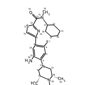 C[C@@H]1CN(c2cc(F)c(-c3csc(C(=O)N(C)C4CCCCC4)n3)cc2N)C[C@H](C)N1C